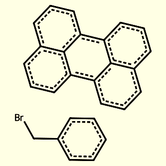 BrCc1ccccc1.c1cc2cccc3c4cccc5cccc(c(c1)c23)c54